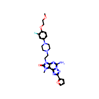 COCCOc1ccc(N2CCN(CCn3c(=O)n(C)c4c3nc(N)n3nc(-c5ccco5)nc43)CC2)cc1F